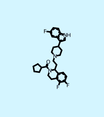 O=C(C1CCCC1)N1CCc2c(ccc(F)c2F)C1CCN1CCC(c2c[nH]c3ccc(F)cc23)CC1